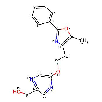 Cc1oc(-c2ccccc2)nc1CCOc1cnc(CO)cn1